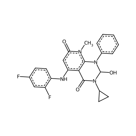 Cn1c2c(c(Nc3ccc(F)cc3F)cc1=O)C(=O)N(C1CC1)C(O)N2c1ccccc1